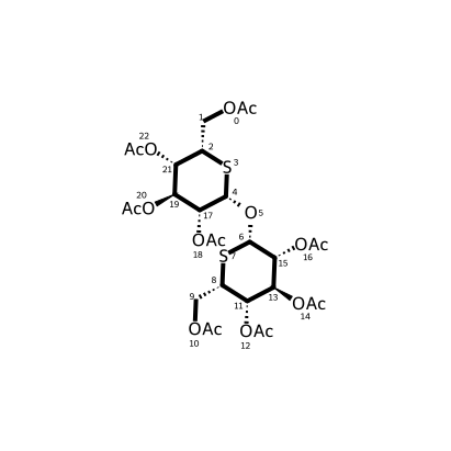 CC(=O)OC[C@@H]1S[C@H](O[C@H]2S[C@@H](COC(C)=O)[C@@H](OC(C)=O)[C@H](OC(C)=O)[C@H]2OC(C)=O)[C@H](OC(C)=O)[C@@H](OC(C)=O)[C@@H]1OC(C)=O